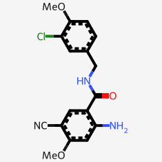 COc1ccc(CNC(=O)c2cc(C#N)c(OC)cc2N)cc1Cl